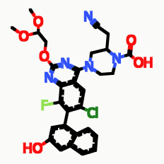 COC(COc1nc(N2CCN(C(=O)O)C(CC#N)C2)c2cc(Cl)c(-c3cc(O)cc4ccccc34)c(F)c2n1)OC